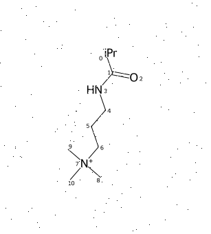 CC(C)C(=O)NCCC[N+](C)(C)C